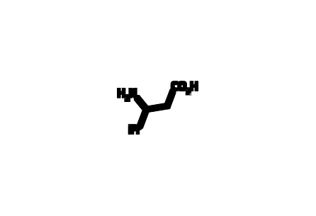 CC(C)C(N)CC(=O)O